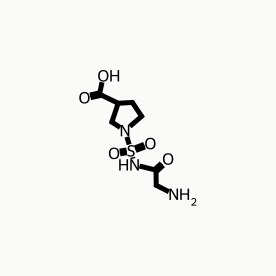 NCC(=O)NS(=O)(=O)N1CCC(C(=O)O)C1